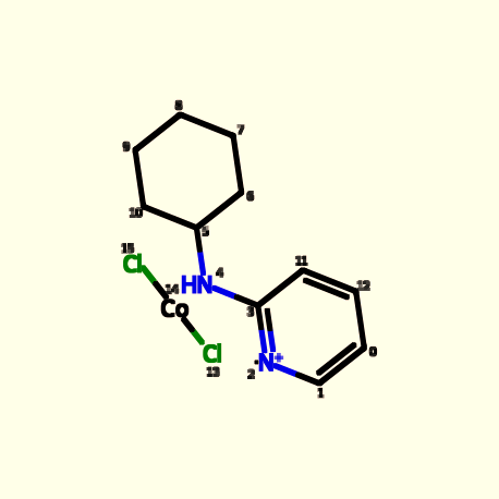 C1=C[N+]=C(NC2CCCCC2)C=C1.[Cl][Co][Cl]